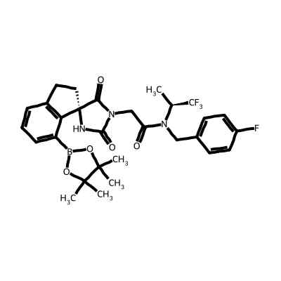 C[C@H](N(Cc1ccc(F)cc1)C(=O)CN1C(=O)N[C@]2(CCc3cccc(B4OC(C)(C)C(C)(C)O4)c32)C1=O)C(F)(F)F